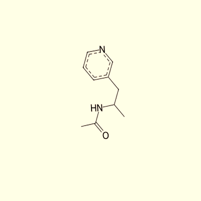 CC(=O)NC(C)Cc1cccnc1